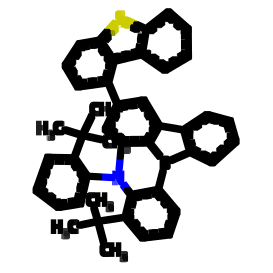 CC(C)(C)c1ccccc1N1c2cc(-c3cccc4sc5ccccc5c34)cc3c2B(c2ccccc2-3)c2cccc(C(C)(C)C)c21